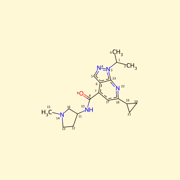 CC(C)n1ncc2c(C(=O)NC3CCN(C)C3)cc(C3CC3)nc21